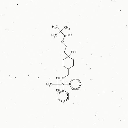 CC(C)(C)C(=O)OCCC1(O)CCC(CO[Si](c2ccccc2)(c2ccccc2)C(C)(C)C)CC1